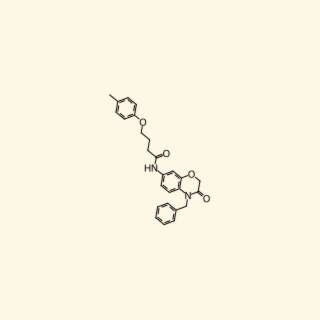 Cc1ccc(OCCCC(=O)Nc2ccc3c(c2)OCC(=O)N3Cc2ccccc2)cc1